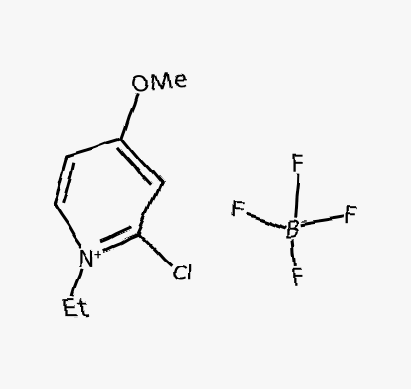 CC[n+]1ccc(OC)cc1Cl.F[B-](F)(F)F